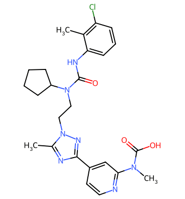 Cc1c(Cl)cccc1NC(=O)N(CCn1nc(-c2ccnc(N(C)C(=O)O)c2)nc1C)C1CCCC1